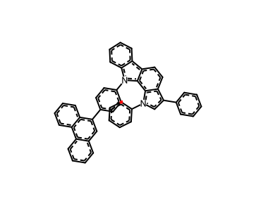 c1ccc(-c2cn(-c3ccccc3)c3c2ccc2c4ccccc4n(-c4ccc(-c5cc6ccccc6c6ccccc56)cc4)c23)cc1